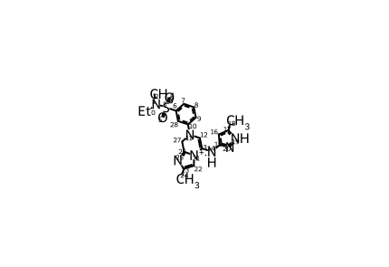 CCN(C)S(=O)(=O)c1cccc(N2C=C(Nc3cc(C)[nH]n3)[N+]3C=C(C)N=C3C2)c1